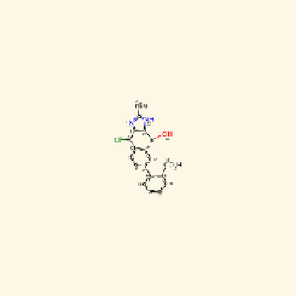 CCCCc1nc(C(Cl)c2ccc(-c3ccccc3C(=O)O)cc2)c(CO)[nH]1